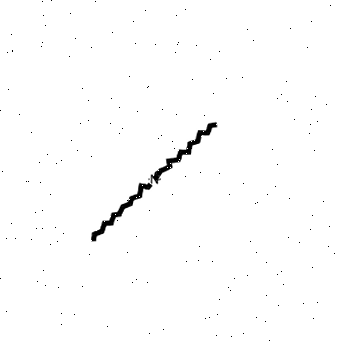 CCCCCCCCCCCCC[N]CCCCCCCCCCCCC